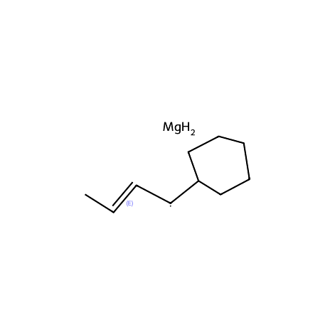 C/C=C/[CH]C1CCCCC1.[MgH2]